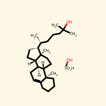 C[C@H](CCCC(C)(C)O)[C@H]1CC[C@H]2[C@@H]3CC=C4CCCC[C@]4(C)[C@H]3CC[C@]12C.O=S(=O)(O)O